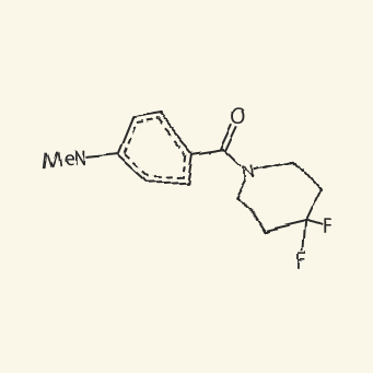 CNc1ccc(C(=O)N2CCC(F)(F)CC2)cc1